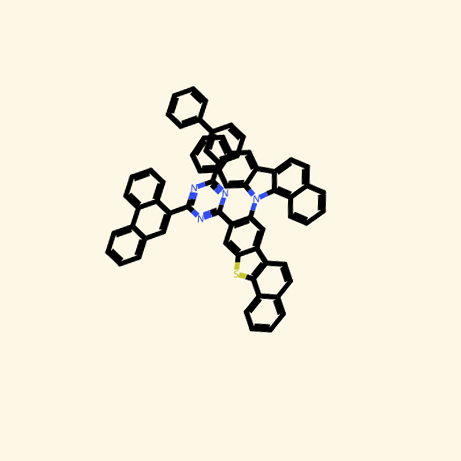 c1ccc(-c2cccc(-c3nc(-c4cc5sc6c7ccccc7ccc6c5cc4-n4c5cc6ccccc6cc5c5ccc6ccccc6c54)nc(-c4cc5ccccc5c5ccccc45)n3)c2)cc1